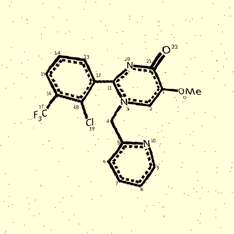 COc1cn(Cc2ccccn2)c(-c2cccc(C(F)(F)F)c2Cl)nc1=O